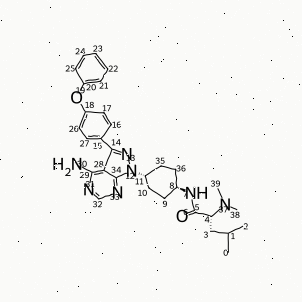 CC(C)C[C@H](C(=O)N[C@H]1CC[C@H](n2nc(-c3ccc(Oc4ccccc4)cc3)c3c(N)ncnc32)CC1)N(C)C